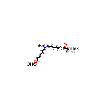 CCCCCCCCC(CCCCCC)C(=O)OCCCCCCCN(CCCC)CCCCCCCOC=O